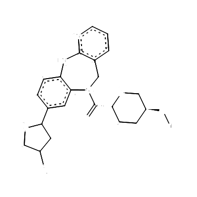 CC(C)O[C@H]1CC[C@H](C(=O)N2Cc3cccnc3Nc3ccc(C4CC(F)CO4)cc32)OC1